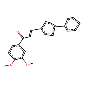 COc1ccc(C(=O)C=Cc2ccc(-c3ccccc3)cc2)cc1OC